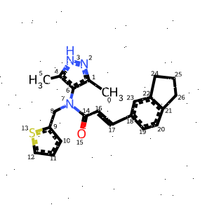 Cc1n[nH]c(C)c1N(Cc1cccs1)C(=O)C=Cc1ccc2c(c1)CCC2